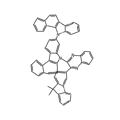 CC1(C)c2ccccc2-c2cc(-c3nc4ccccc4nc3-n3c4cc(-n5c6ccccc6c6ccc7ccccc7c65)ccc4c4c5ccccc5ccc43)ccc21